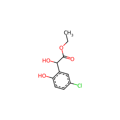 CCOC(=O)C(O)c1cc(Cl)ccc1O